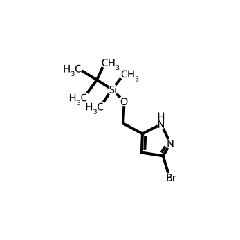 CC(C)(C)[Si](C)(C)OCc1cc(Br)n[nH]1